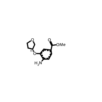 COC(=O)c1ccc(N)c(O[C@H]2CCOC2)c1